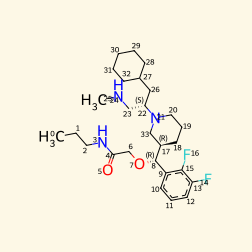 CCCNC(=O)CO[C@@H](c1cccc(F)c1F)[C@@H]1CCCN([C@H](CNC)CC2CCCCC2)C1